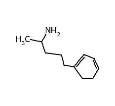 CC(N)CCCC1=CC=CCC1